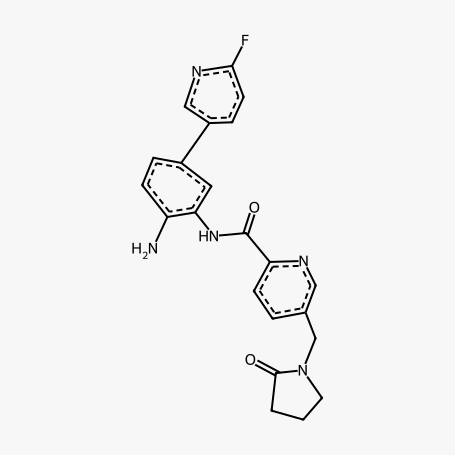 Nc1ccc(-c2ccc(F)nc2)cc1NC(=O)c1ccc(CN2CCCC2=O)cn1